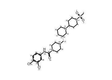 CS(=O)(=O)N1CCC(N2CCC[C@@H](CN3CCN(C(=O)Nc4ccc(Cl)c(Cl)c4)CC3)C2)CC1